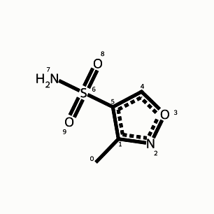 Cc1nocc1S(N)(=O)=O